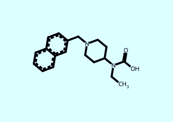 CCN(C(=O)O)C1CCN(Cc2ccc3ccccc3c2)CC1